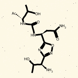 CC(=O)[C@@H](NC(=O)N[C@@H](CC(N)=O)c1nc([C@@H](N)C(C)O)no1)C(C)O